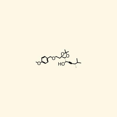 COc1ccc(COCCC2OC(C)(C)O[C@@H]2C(O)C#C[C@@H](C)C(C)C)cc1